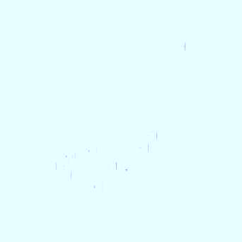 CC(C)(C)O.CCCCCCC.CO.Cc1ccccc1